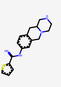 N=C(Nc1ccc2c(c1)CN1CCNCC1C2)c1cccs1